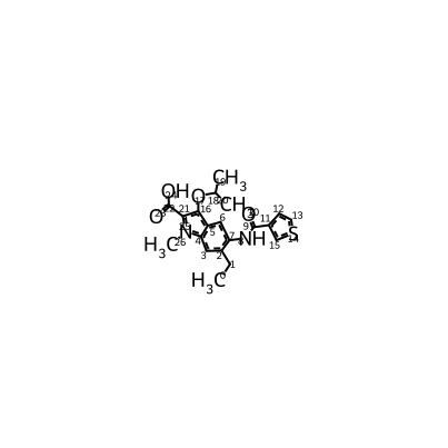 CCc1cc2c(cc1NC(=O)c1ccsc1)c(OC(C)C)c(C(=O)O)n2C